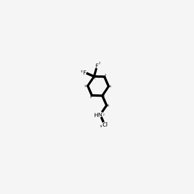 FC1(F)CCC(CNCl)CC1